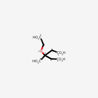 O=C(O)COC(CC(=O)O)(CC(=O)O)C(=O)O